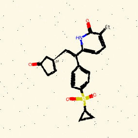 CCc1ccc(C(=C[C@H]2CCC(=O)C2)c2ccc(S(=O)(=O)C3CC3)cc2)[nH]c1=O